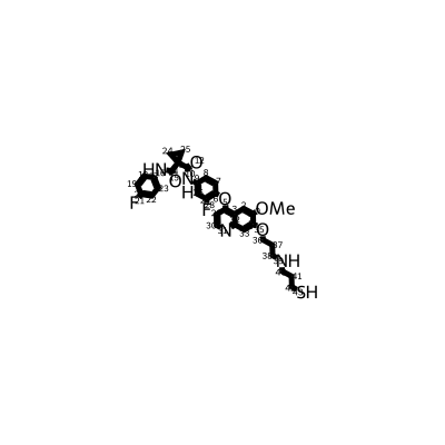 COc1cc2c(Oc3ccc(NC(=O)C4(C(=O)Nc5ccc(F)cc5)CC4)cc3F)ccnc2cc1OCCCNCCCS